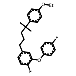 CCOc1ccc(C(C)(C)CCCc2ccc(F)c(Oc3ccc(F)cc3)c2)cc1